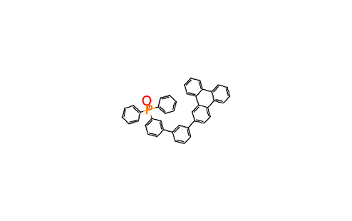 O=P(c1ccccc1)(c1ccccc1)c1cccc(-c2cccc(-c3ccc4c5ccccc5c5ccccc5c4c3)c2)c1